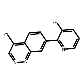 FC(F)(F)c1cccnc1-c1ccc2c(Cl)cnnc2c1